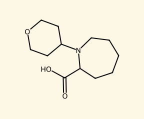 O=C(O)C1CCCCCN1C1CCOCC1